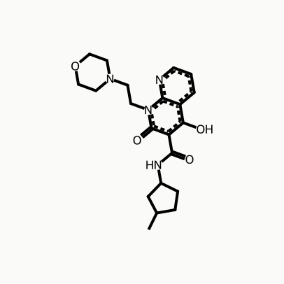 CC1CCC(NC(=O)c2c(O)c3cccnc3n(CCN3CCOCC3)c2=O)C1